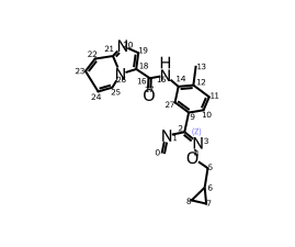 C=N/C(=N\OCC1CC1)c1ccc(C)c(NC(=O)c2cnc3ccccn23)c1